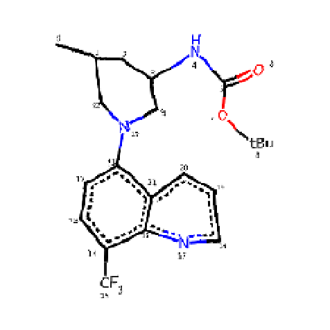 CC1CC(NC(=O)OC(C)(C)C)CN(c2ccc(C(F)(F)F)c3ncccc23)C1